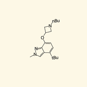 CCCCN1CC(Oc2ccc(C(C)(C)C)c3cn(C)nc23)C1